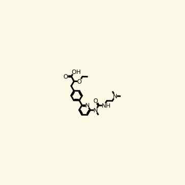 CCOC(Cc1ccc(-c2cccc(N(C)C(=O)NCCN(C)C)n2)cc1)C(=O)O